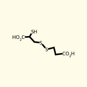 O=C(O)CCSSCC(S)C(=O)O